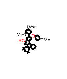 COc1ccc(Oc2cc3c4c(cc(O)c3cc2-c2ccc(OC)cc2OC)C2(CC(C)(C)CC(C)(C)C2)c2ccccc2-4)cc1